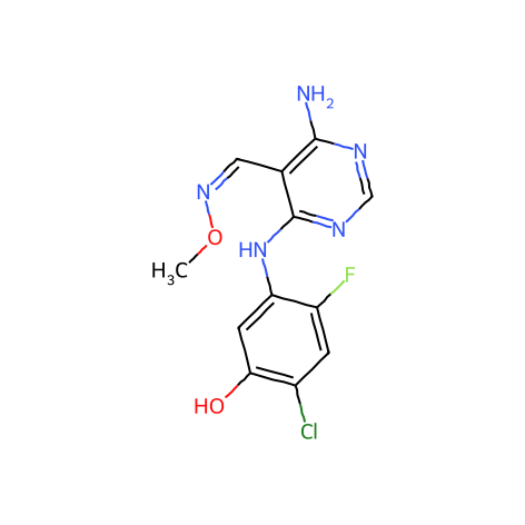 CO/N=C\c1c(N)ncnc1Nc1cc(O)c(Cl)cc1F